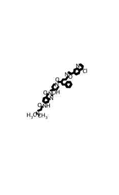 CN(C)CCC(=O)Nc1ccc2c(=O)n(CC3(O)CCN(C(=O)C(CCc4ncc(-c5ccc6c(Cl)ccnc6c5)o4)Cc4ccccc4)CC3)cnc2c1